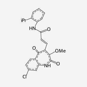 COc1c(C=CC(=O)Nc2ccccc2C(C)C)c(=O)c2ccc(Cl)cc2[nH]c1=O